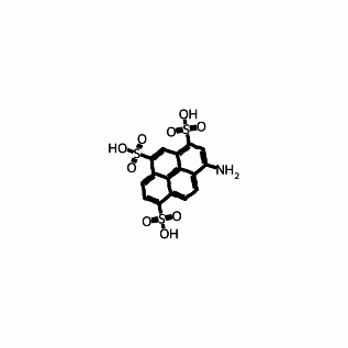 Nc1cc(S(=O)(=O)O)c2cc(S(=O)(=O)O)c3ccc(S(=O)(=O)O)c4ccc1c2c43